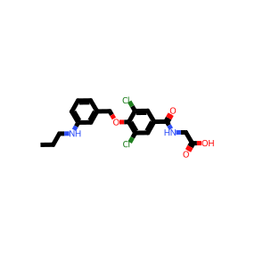 CCCNc1cccc(COc2c(Cl)cc(C(=O)NCC(=O)O)cc2Cl)c1